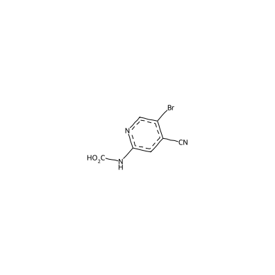 N#Cc1cc(NC(=O)O)ncc1Br